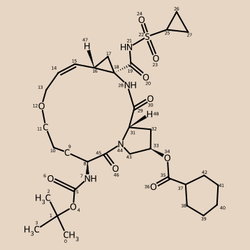 CC(C)(C)OC(=O)N[C@H]1CCCOC/C=C\[C@@H]2C[C@@]2(C(=O)NS(=O)(=O)C2CC2)NC(=O)[C@@H]2C[C@@H](OC(=O)C3CCCCC3)CN2C1=O